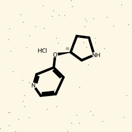 Cl.c1cncc(O[C@H]2CCNC2)c1